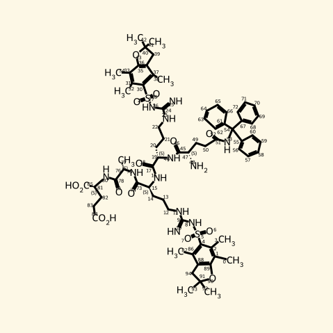 Cc1c(C)c(S(=O)(=O)NC(=N)NCCC[C@H](NC(=O)[C@H](CCCNC(=N)NS(=O)(=O)c2c(C)c(C)c3c(c2C)CC(C)(C)O3)NC(=O)[C@@H](N)CCC(=O)NC(c2ccccc2)(c2ccccc2)c2ccccc2)C(=O)N[C@@H](C)C(=O)N[C@@H](CCC(=O)O)C(=O)O)c(C)c2c1OC(C)(C)C2